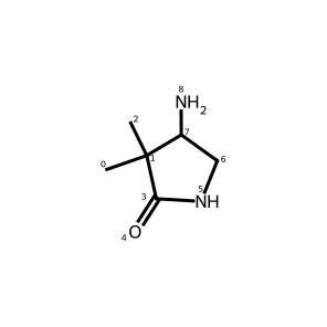 CC1(C)C(=O)NCC1N